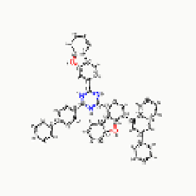 C1=Cc2c(oc3cc(-c4nc(-c5ccc(-c6ccccc6)cc5)nc(-c5ccc(-c6cc(-c7ccccc7)cc7ccccc67)c6oc7ccccc7c56)n4)ccc23)CC1